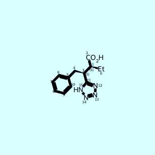 CC[C@H](C(=O)O)[C@H](Cc1ccccc1)c1nnn[nH]1